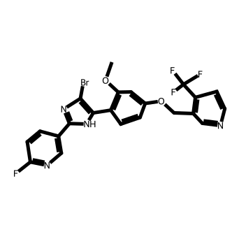 COc1cc(OCc2cnccc2C(F)(F)F)ccc1-c1[nH]c(-c2ccc(F)nc2)nc1Br